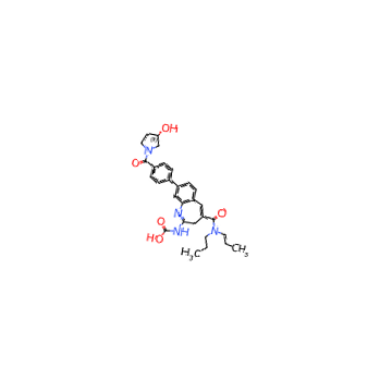 CCCN(CCC)C(=O)C1=Cc2ccc(-c3ccc(C(=O)N4CC[C@@H](O)C4)cc3)cc2N=C(NC(=O)O)C1